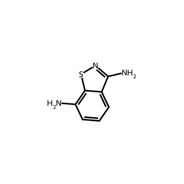 Nc1nsc2c(N)cccc12